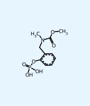 COC(=O)N(C)Cc1ccccc1OP(=O)(O)O